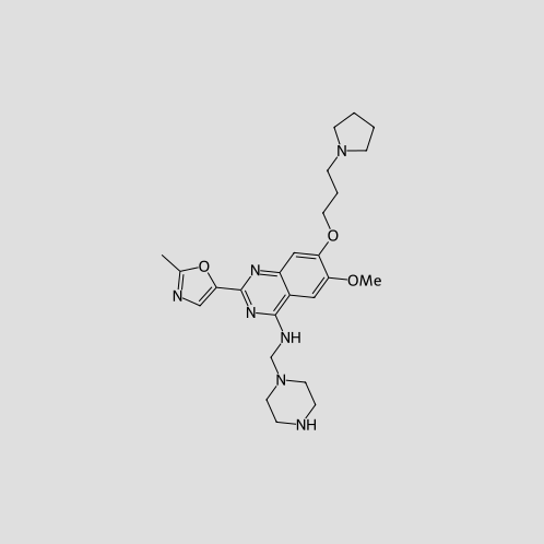 COc1cc2c(NCN3CCNCC3)nc(-c3cnc(C)o3)nc2cc1OCCCN1CCCC1